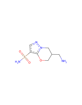 NCC1COc2c(S(N)(=O)=O)cnn2C1